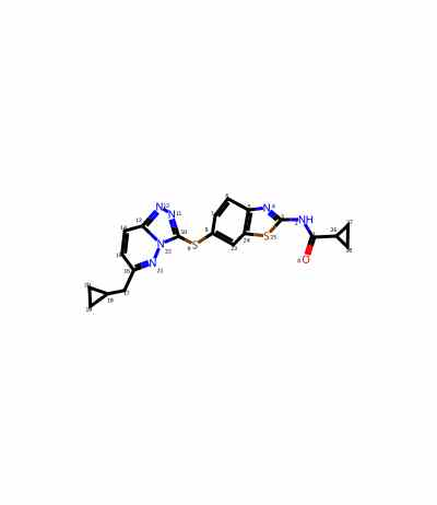 O=C(Nc1nc2ccc(Sc3nnc4ccc(CC5CC5)nn34)cc2s1)C1CC1